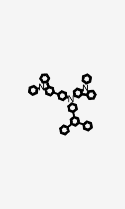 c1ccc(-c2cc(-c3ccccc3)cc(-c3ccc(N(c4ccc(-c5ccc6c(c5)c5ccccc5n6-c5ccccc5)cc4)c4ccc5c(c4)c4ccccc4n5-c4ccccc4)cc3)c2)cc1